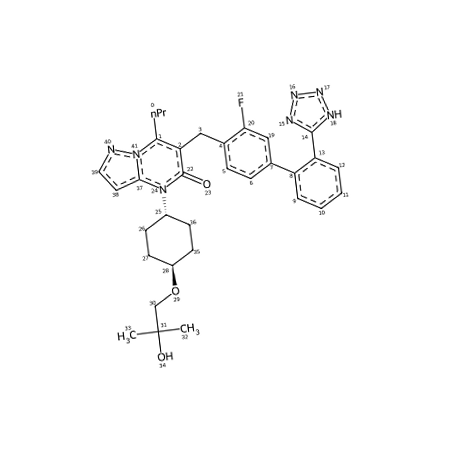 CCCc1c(Cc2ccc(-c3ccccc3-c3nnn[nH]3)cc2F)c(=O)n([C@H]2CC[C@H](OCC(C)(C)O)CC2)c2ccnn12